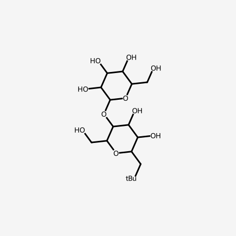 CC(C)(C)CC1OC(CO)C(OC2OC(CO)C(O)C(O)C2O)C(O)C1O